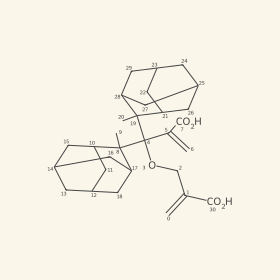 C=C(COC(C(=C)C(=O)O)(C1(C)C2CC3CC(C2)CC1C3)C1(C)C2CC3CC(C2)CC1C3)C(=O)O